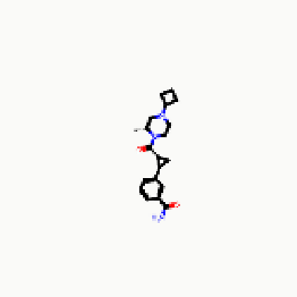 C[C@@H]1CN(C2CCC2)CCN1C(=O)[C@H]1CC1c1cccc(C(N)=O)c1